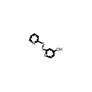 Oc1ccnc(SSc2ccccn2)c1